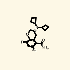 [3H]c1cc(F)c2c(c1C(N)=O)C[C@@H](N(C1CCC1)C1CCC1)CO2